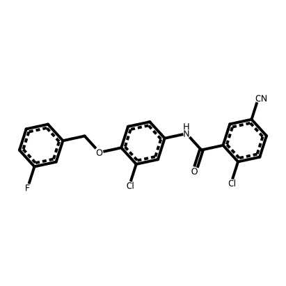 N#Cc1ccc(Cl)c(C(=O)Nc2ccc(OCc3cccc(F)c3)c(Cl)c2)c1